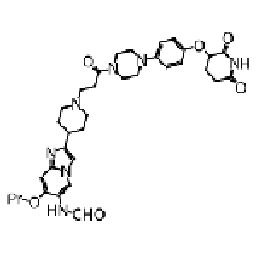 CC(C)Oc1cc2nc(C3CCN(CCC(=O)N4CCN(c5ccc(OC6CCC(=O)NC6=O)cc5)CC4)CC3)cn2cc1NC=O